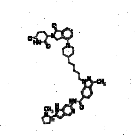 Cc1nn(CCCCCC2CCN(c3cccc4c3CN(C3CCC(=O)NC3=O)C4=O)CC2)c2cc(C(=O)Nc3cc4[nH]c([C@H]5CCCN5C)cc4cn3)ccc12